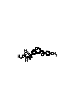 C=C(C)Nc1ncc(-c2ccc3c(c2)C/C=C(/CC(=O)N2CCC(C)CC2)CCO3)s1